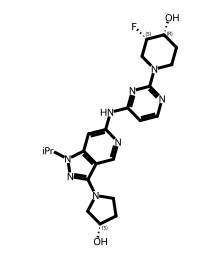 CC(C)n1nc(N2CC[C@H](O)C2)c2cnc(Nc3ccnc(N4CC[C@@H](O)[C@@H](F)C4)n3)cc21